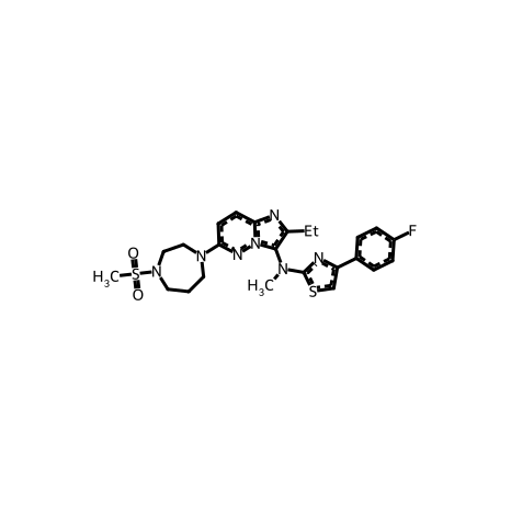 CCc1nc2ccc(N3CCCN(S(C)(=O)=O)CC3)nn2c1N(C)c1nc(-c2ccc(F)cc2)cs1